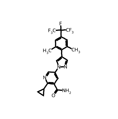 Cc1cc(C(F)(C(F)(F)F)C(F)(F)F)cc(C)c1-c1cnn(-c2cnc(C3CC3)c(C(N)=O)c2)c1